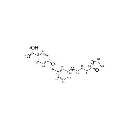 O=C(O)c1ccc(OCc2cccc(OCCCC3OCCO3)c2)cc1